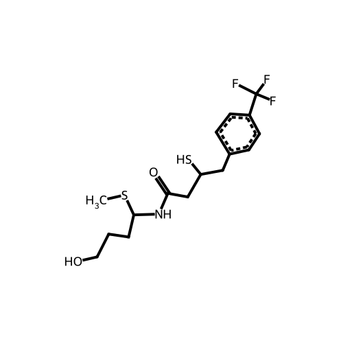 CSC(CCCO)NC(=O)CC(S)Cc1ccc(C(F)(F)F)cc1